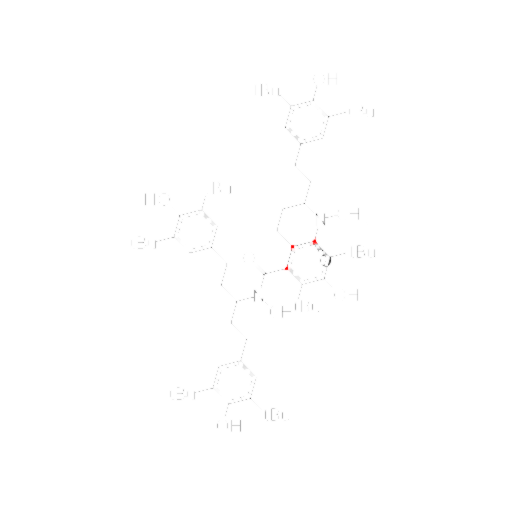 CN(C(=O)CCC(=O)N(C)C(CCc1cc(C(C)(C)C)c(O)c(C(C)(C)C)c1)CCc1cc(C(C)(C)C)c(O)c(C(C)(C)C)c1)C(CCc1cc(C(C)(C)C)c(O)c(C(C)(C)C)c1)CCc1cc(C(C)(C)C)c(O)c(C(C)(C)C)c1